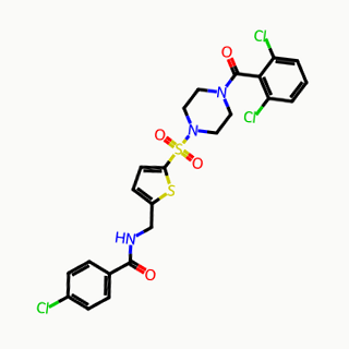 O=C(NCc1ccc(S(=O)(=O)N2CCN(C(=O)c3c(Cl)cccc3Cl)CC2)s1)c1ccc(Cl)cc1